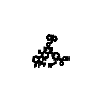 N#CC[C@H]1CN(c2nc(OCC34CCCN3CCC4)nc3c(F)c(-c4cccc(F)c4C(F)(F)F)ncc23)CCN1C(=O)O